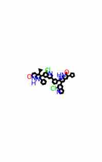 O=c1ccc2c(C3CC3)c(-c3cc(Cl)c4ncc(-c5cccc(-c6nc7[nH]c(=O)c(C8CCCC8)cc7cc6-c6cc(Cl)c7ncccc7c6)c5)cc4c3)c(-c3ccccc3)nc2[nH]1